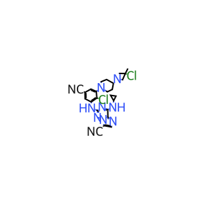 CC1(Cl)CN(C2CCN(c3cc(C#N)cc(Nc4nc(NC5CC5)c5ncc(C#N)n5n4)c3Cl)CC2)C1